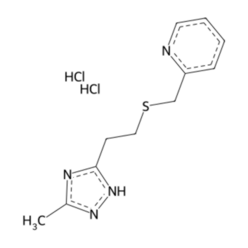 Cc1n[nH]c(CCSCc2ccccn2)n1.Cl.Cl